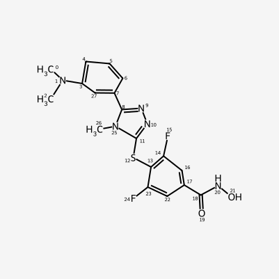 CN(C)c1cccc(-c2nnc(Sc3c(F)cc(C(=O)NO)cc3F)n2C)c1